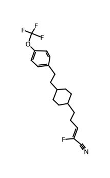 N#CC(F)=CCCC1CCC(CCc2ccc(OC(F)(F)F)cc2)CC1